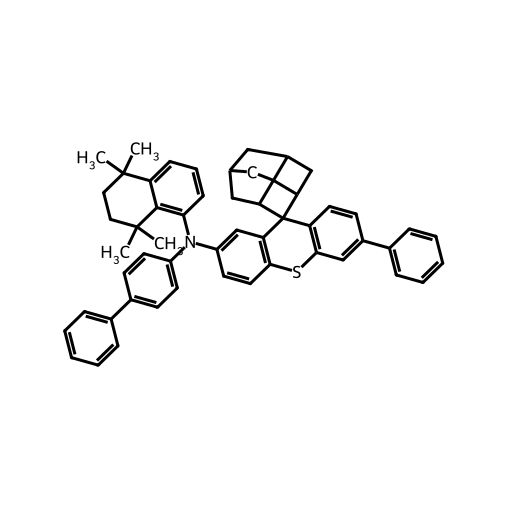 CC1(C)CCC(C)(C)c2c(N(c3ccc(-c4ccccc4)cc3)c3ccc4c(c3)C3(c5ccc(-c6ccccc6)cc5S4)C4CC5CC6CC3C64C5)cccc21